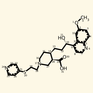 COc1ccc2nccc([C@@H](O)CC[C@@H]3CCN(CCSc4ccncc4)C[C@@H]3C(=O)O)c2c1